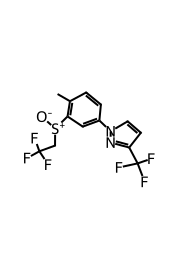 Cc1ccc(-n2ccc(C(F)(F)F)n2)cc1[S+]([O-])CC(F)(F)F